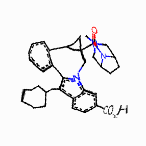 CN1CC2CCC(C1)N2C(=O)C12CC1c1ccccc1-c1c(C3CCCCC3)c3ccc(C(=O)O)cc3n1C2